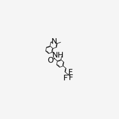 Cc1cc2c(NC(=O)c3ccc(C=CC(F)(F)F)cc3C)cccc2cn1